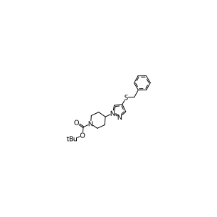 CC(C)(C)OC(=O)N1CCC(n2cc(SCc3ccccc3)cn2)CC1